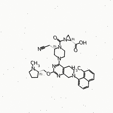 Cc1cccc2cccc(N3CCc4c(nc(OC[C@@H]5CCCN5C)nc4N4CCN(C(=O)N5C[C@@H]5C(=O)O)[C@@H](CC#N)C4)C3)c12